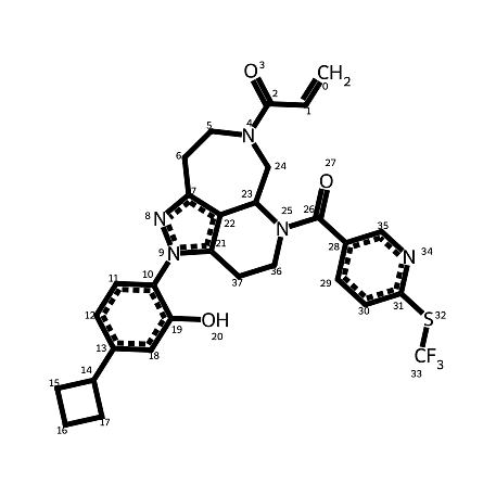 C=CC(=O)N1CCc2nn(-c3ccc(C4CCC4)cc3O)c3c2C(C1)N(C(=O)c1ccc(SC(F)(F)F)nc1)CC3